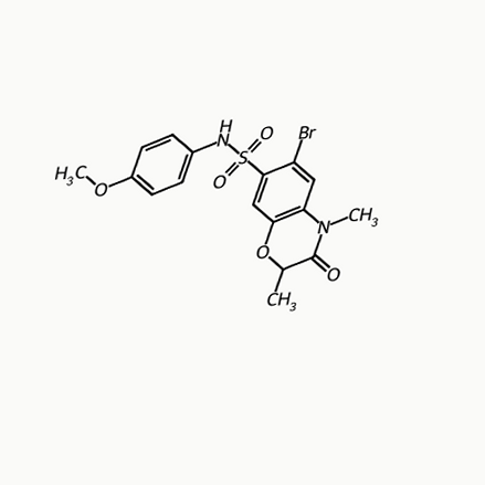 COc1ccc(NS(=O)(=O)c2cc3c(cc2Br)N(C)C(=O)C(C)O3)cc1